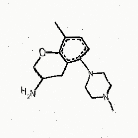 Cc1ccc(N2CCN(C)CC2)c2c1OCC(N)C2